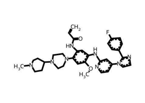 C=CC(=O)Nc1cc(Nc2cc(-n3ccnc3-c3ccc(F)cc3)ccn2)c(OC)cc1N1CCN(C2CCN(C)CC2)CC1